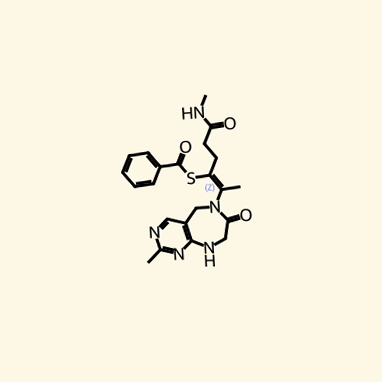 CNC(=O)CC/C(SC(=O)c1ccccc1)=C(\C)N1Cc2cnc(C)nc2NCC1=O